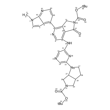 Cn1ccc2c(-c3ncc(Nc4cncc(N5CCC6CN(C(=O)OC(C)(C)C)CC65)n4)c4c3CN(C(=O)OC(C)(C)C)C4=O)ccnc21